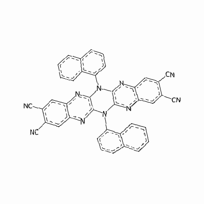 N#Cc1cc2nc3c(nc2cc1C#N)N(c1cccc2ccccc12)c1nc2cc(C#N)c(C#N)cc2nc1N3c1cccc2ccccc12